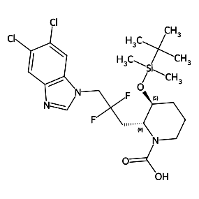 CC(C)(C)[Si](C)(C)O[C@H]1CCCN(C(=O)O)[C@@H]1CC(F)(F)Cn1cnc2cc(Cl)c(Cl)cc21